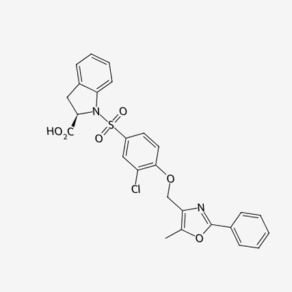 Cc1oc(-c2ccccc2)nc1COc1ccc(S(=O)(=O)N2c3ccccc3C[C@@H]2C(=O)O)cc1Cl